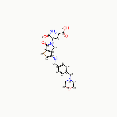 NC(=O)C(CCC(=O)O)N1Cc2c(NCc3ccc(CN4CCOCC4)cc3)csc2C1=O